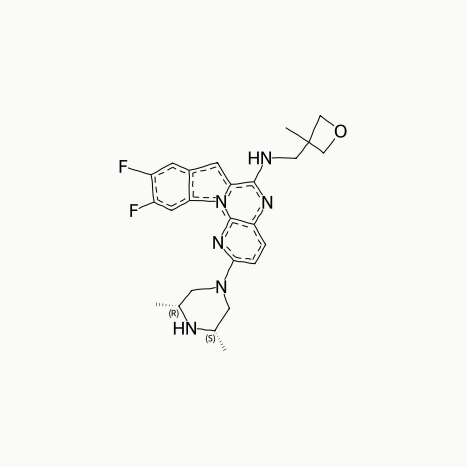 C[C@@H]1CN(c2ccc3nc(NCC4(C)COC4)c4cc5cc(F)c(F)cc5n4c3n2)C[C@H](C)N1